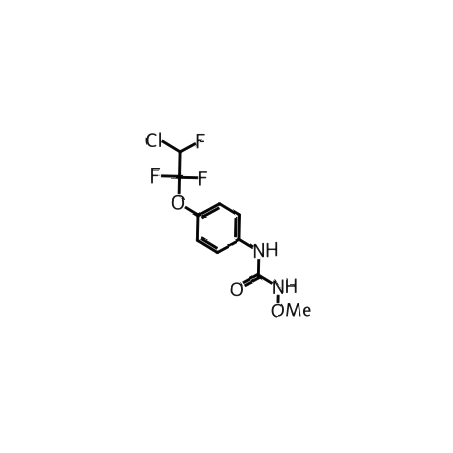 CONC(=O)Nc1ccc(OC(F)(F)C(F)Cl)cc1